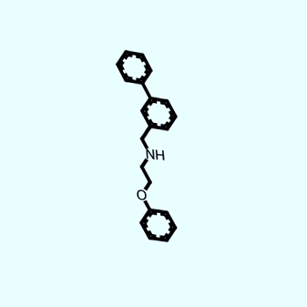 c1ccc(OCCNCc2cccc(-c3ccccc3)c2)cc1